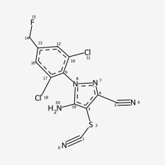 N#CSc1c(C#N)nn(-c2c(Cl)cc(CF)cc2Cl)c1N